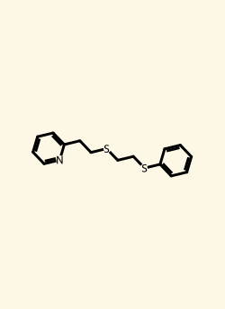 c1ccc(SCCSCCc2ccccn2)cc1